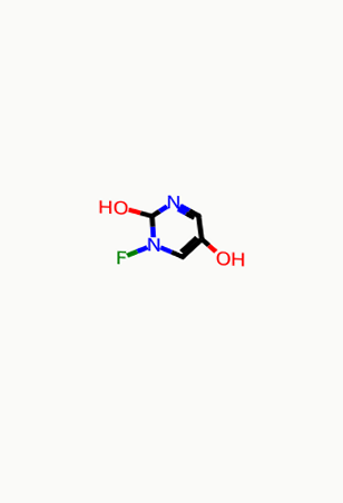 OC1=CN(F)C(O)N=C1